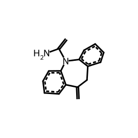 C=C1Cc2ccccc2N(C(=C)N)c2ccccc21